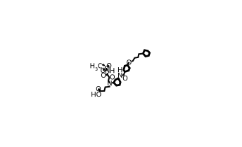 CCS(=O)(=O)NC(=O)C1CN(CCCC(=O)O)c2cccc(NC(=O)c3ccc(OCCCCc4ccccc4)cc3)c2O1